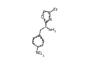 CCc1coc([C@@H](N)Cc2ccc([N+](=O)[O-])cc2)n1